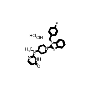 CN(c1nccc(=O)[nH]1)C1CCN(c2nc3ccccc3n2Cc2ccc(F)cc2)CC1.Cl.Cl